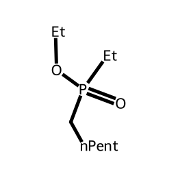 CCCCCCP(=O)(CC)OCC